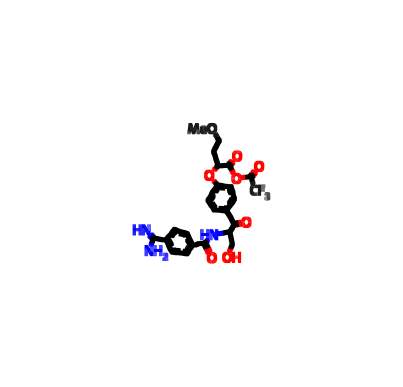 COCCC(Oc1ccc(C(=O)C(CO)NC(=O)c2ccc(C(=N)N)cc2)cc1)C(=O)OC(=O)C(F)(F)F